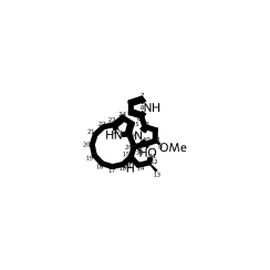 CO[C@@H]1CC(c2ccc[nH]2)=N[C@]12O[C@@H](C)C[C@@H]1CCCCCCCc3ccc([nH]3)[C@H]12